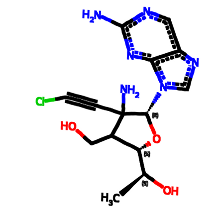 C[C@H](O)[C@H]1O[C@@H](n2cnc3cnc(N)nc32)C(N)(C#CCl)C1CO